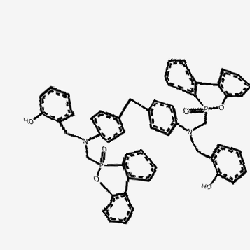 O=P1(CN(Cc2ccccc2O)c2ccc(Cc3ccc(N(Cc4ccccc4O)CP4(=O)Oc5ccccc5-c5ccccc54)cc3)cc2)Oc2ccccc2-c2ccccc21